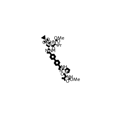 C=C(C)[C@H](NC(=O)OC)C(=O)N1CC=C[C@H]1c1ncc(-c2ccc(-c3ccc(-c4cnc([C@@H]5CN(S(=O)(=O)C6CC6)CN5C(=O)[C@@H](NC(=O)OC)C(C)C)[nH]4)cc3)cc2)[nH]1